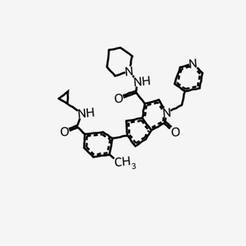 Cc1ccc(C(=O)NC2CC2)cc1-c1ccc2c(=O)n(Cc3ccncc3)cc(C(=O)NN3CCCCC3)c2c1